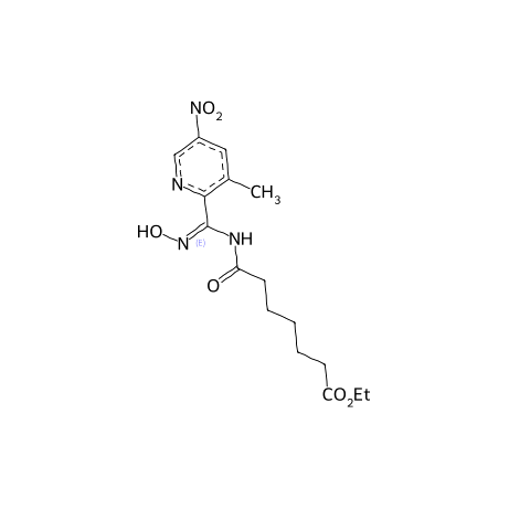 CCOC(=O)CCCCCC(=O)N/C(=N/O)c1ncc([N+](=O)[O-])cc1C